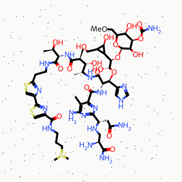 COCC1O[C@H](O[C@@H](C2C(CO)[C@H]2O)[C@@H](O)O[C@@H](c2c[nH]cn2)[C@H](NC(=O)c2nc([C@H](CC(N)=O)NC[C@H](N)C(N)=O)nc(N)c2C)C(=O)N[C@H](C)[C@@H](O)[C@H](C)C(=O)N[C@H](C(=O)NCCc2nc(-c3nc(C(=O)NCCC[S+](C)C)cs3)cs2)[C@@H](C)O)C(O)[C@H](OC(N)=O)[C@@H]1O